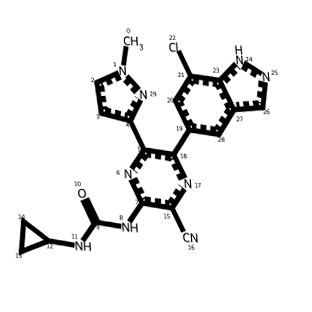 Cn1ccc(-c2nc(NC(=O)NC3CC3)c(C#N)nc2-c2cc(Cl)c3[nH]ncc3c2)n1